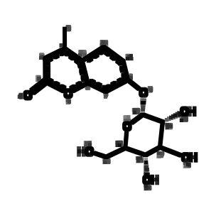 Cc1cc(=O)oc2cc(O[C@H]3OC(CO)[C@@H](O)C(O)[C@H]3O)ccc12